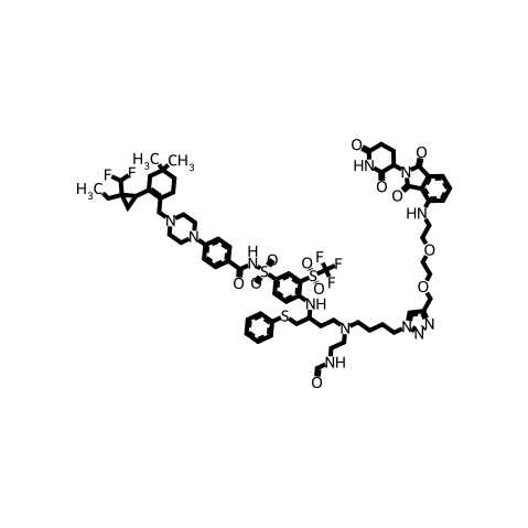 CCC1(C(F)F)CC1C1=C(CN2CCN(c3ccc(C(=O)NS(=O)(=O)c4ccc(NC(CCN(CCCCn5cc(COCCOCCNc6cccc7c6C(=O)N(C6CCC(=O)NC6=O)C7=O)nn5)CCNC=O)CSc5ccccc5)c(S(=O)(=O)C(F)(F)F)c4)cc3)CC2)CCC(C)(C)C1